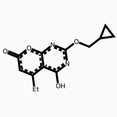 CCc1cc(=O)oc2nc(OCC3CC3)nc(O)c12